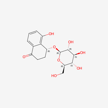 O=C1CC[C@@H](O[C@@H]2O[C@H](CO)[C@@H](O)[C@H](O)[C@H]2O)c2c(O)cccc21